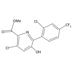 COC(=O)c1nc(-c2ccc(C(F)(F)F)cc2Cl)c(O)cc1Cl